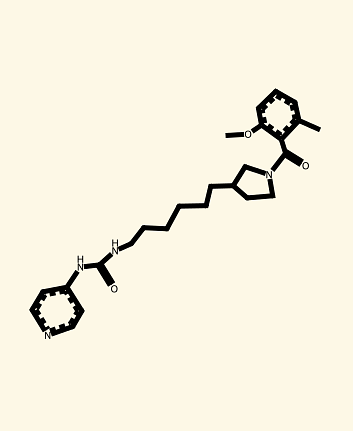 COc1cccc(C)c1C(=O)N1CCC(CCCCCCNC(=O)Nc2ccncc2)C1